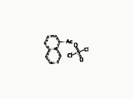 CC(=O)c1cccc2ccccc12.O=S(=O)(Cl)Cl